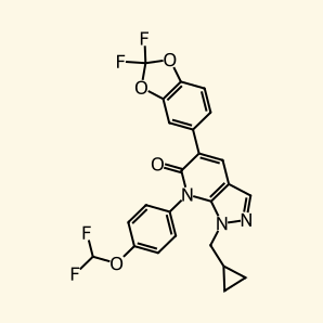 O=c1c(-c2ccc3c(c2)OC(F)(F)O3)cc2cnn(CC3CC3)c2n1-c1ccc(OC(F)F)cc1